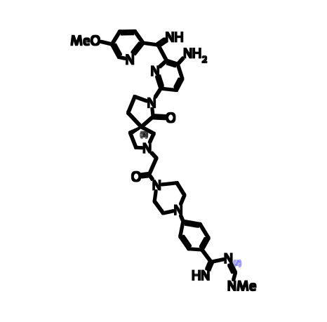 CN/C=N\C(=N)c1ccc(N2CCN(C(=O)CN3CC[C@]4(CCN(c5ccc(N)c(C(=N)c6ccc(OC)cn6)n5)C4=O)C3)CC2)cc1